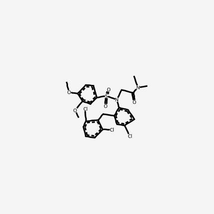 COc1ccc(S(=O)(=O)N(CC(=O)N(C)C)c2ccc(Cl)cc2Cc2c(Cl)cccc2Cl)cc1OC